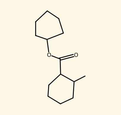 CC1CCCCC1C(=O)OC1CCCCC1